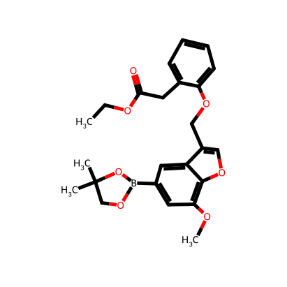 CCOC(=O)Cc1ccccc1OCc1coc2c(OC)cc(B3OCC(C)(C)O3)cc12